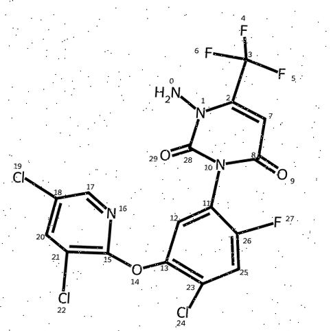 Nn1c(C(F)(F)F)cc(=O)n(-c2cc(Oc3ncc(Cl)cc3Cl)c(Cl)cc2F)c1=O